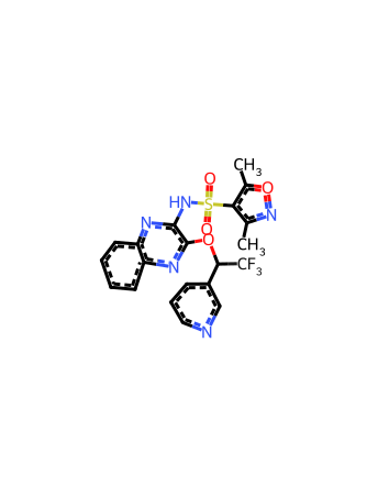 Cc1noc(C)c1S(=O)(=O)Nc1nc2ccccc2nc1OC(c1cccnc1)C(F)(F)F